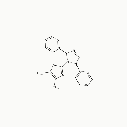 Cc1nc(N2C(c3ccccc3)N=NN2c2ccccc2)sc1C